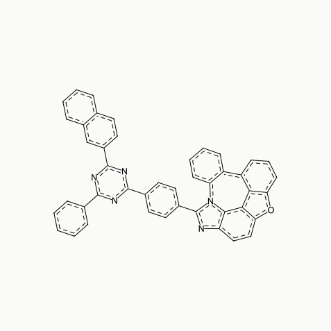 c1ccc(-c2nc(-c3ccc(-c4nc5ccc6oc7cccc8c9ccccc9n4c5c6c78)cc3)nc(-c3ccc4ccccc4c3)n2)cc1